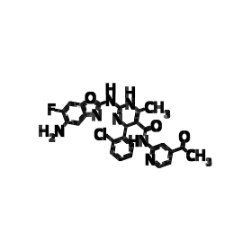 CC(=O)c1ccnc(NC(=O)C2=C(C)NC(Nc3nc4cc(N)c(F)cc4o3)=NC2c2ccccc2Cl)c1